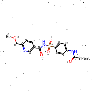 CCCCCC(=O)Nc1ccc(S(=O)(=O)NC(=O)c2ccc(COCC)nc2)cc1